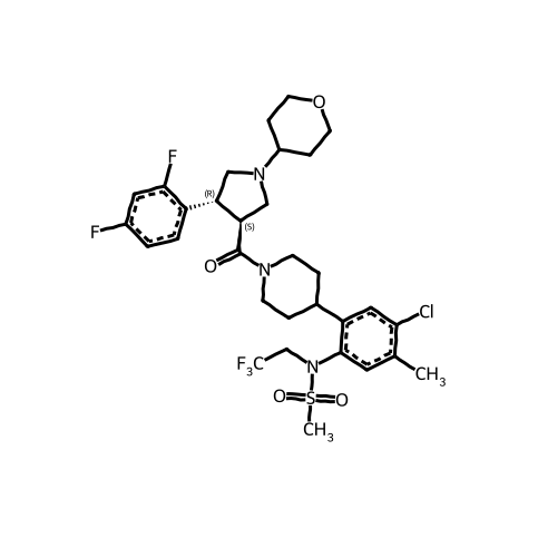 Cc1cc(N(CC(F)(F)F)S(C)(=O)=O)c(C2CCN(C(=O)[C@@H]3CN(C4CCOCC4)C[C@H]3c3ccc(F)cc3F)CC2)cc1Cl